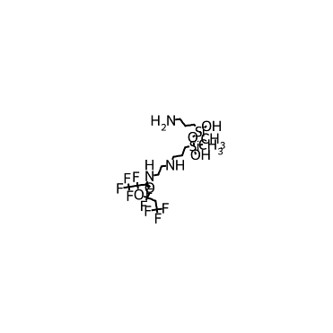 C[Si](O)(CCCN)O[Si](C)(O)CCCNCCNC(=O)C(F)(OC(F)(F)CC(F)(F)F)C(F)(F)F